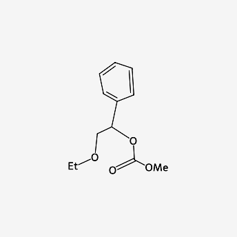 CCOCC(OC(=O)OC)c1ccccc1